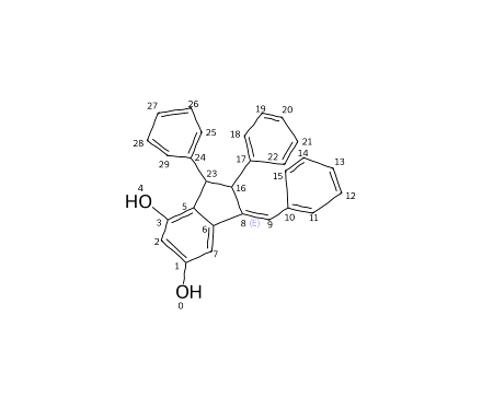 Oc1cc(O)c2c(c1)/C(=C/c1ccccc1)C(c1ccccc1)C2c1ccccc1